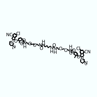 Cc1cc(S(=O)(=O)NCCOCCOCCNC(=O)NCCCCNC(=O)NCCOCCOCCNS(=O)(=O)c2cccc(O[C@H]3c4cc(Cl)cc(C#N)c4C[C@@H]3N3CCC[C@@H](N(C)C)C3)c2C)ccc1O[C@H]1c2cc(Cl)cc(C#N)c2C[C@@H]1N1CCC[C@@H](N(C)C)C1